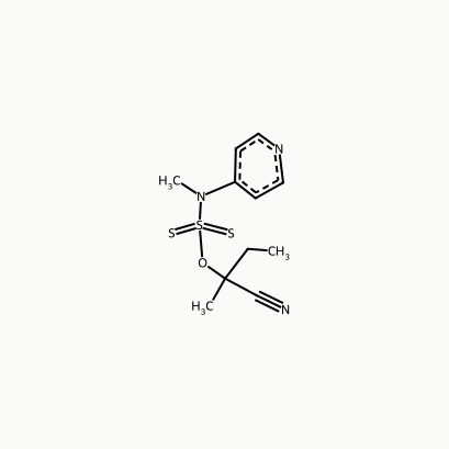 CCC(C)(C#N)OS(=S)(=S)N(C)c1ccncc1